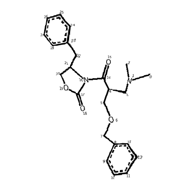 CN(C)C[C@@H](COCc1ccccc1)C(=O)N1C(=O)OCC1Cc1ccccc1